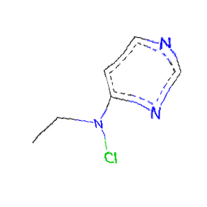 CCN(Cl)c1ccncn1